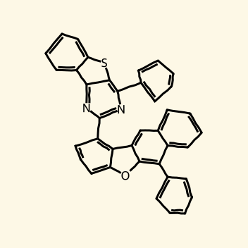 c1ccc(-c2c3ccccc3cc3c2oc2cccc(-c4nc(-c5ccccc5)c5sc6ccccc6c5n4)c23)cc1